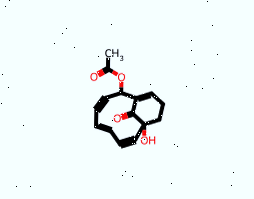 CC(=O)OC1C#C/C=C/C#CC2(O)CCC=C1C2=O